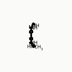 CC1=C[C@@H](c2ncc(-c3ccc(C#Cc4ccc(-c5cnc([C@@H]6CCCN6)[nH]5)cc4)cc3)[nH]2)NC1